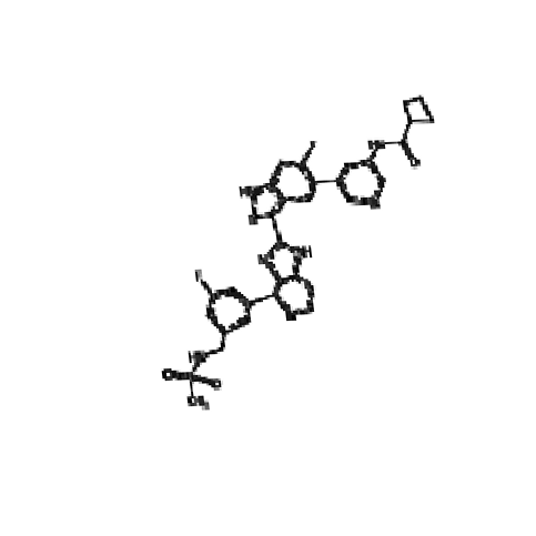 CS(=O)(=O)NCc1cc(F)cc(-c2nccc3[nH]c(-c4n[nH]c5cc(F)c(-c6cncc(NC(=O)C7CCC7)c6)cc45)nc23)c1